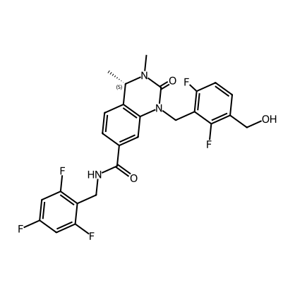 C[C@H]1c2ccc(C(=O)NCc3c(F)cc(F)cc3F)cc2N(Cc2c(F)ccc(CO)c2F)C(=O)N1C